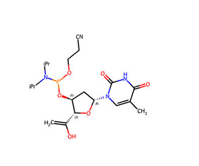 C=C(O)[C@H]1O[C@@H](n2cc(C)c(=O)[nH]c2=O)C[C@@H]1OP(OCCC#N)N(C(C)C)C(C)C